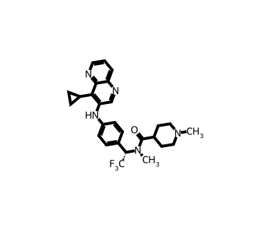 CN1CCC(C(=O)N(C)[C@@H](c2ccc(Nc3cnc4cccnc4c3C3CC3)cc2)C(F)(F)F)CC1